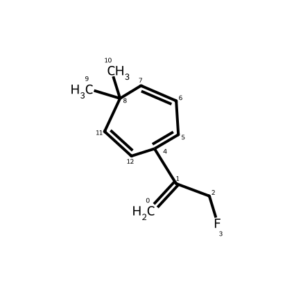 C=C(CF)C1=CC=CC(C)(C)C=C1